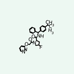 CC(C)c1ccc(C(NC(=O)C2CC(F)CN2C(=O)COc2cccnn2)c2ccccc2)cc1